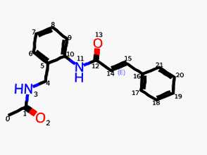 CC(=O)NCc1ccccc1NC(=O)/C=C/c1ccccc1